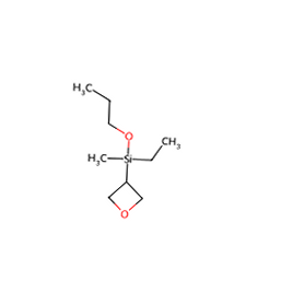 CCCO[Si](C)(CC)C1COC1